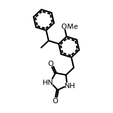 COc1ccc(CC2NC(=O)NC2=O)cc1C(C)c1ccccc1